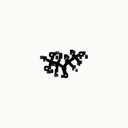 O=C(C(F)(F)C(F)(F)C(F)(F)F)C(F)(F)C(F)(C(F)(F)F)C(F)(F)F